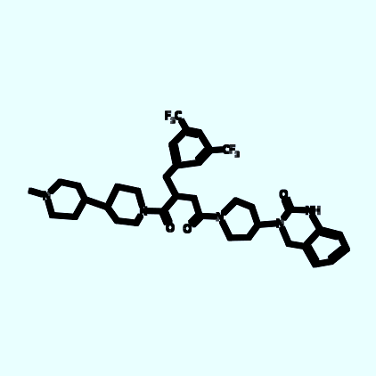 CN1CCC(C2CCN(C(=O)C(CC(=O)N3CCC(N4Cc5ccccc5NC4=O)CC3)Cc3cc(C(F)(F)F)cc(C(F)(F)F)c3)CC2)CC1